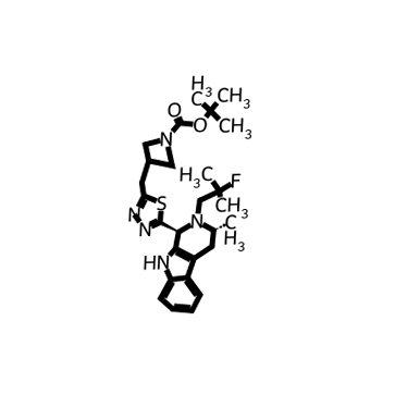 C[C@@H]1Cc2c([nH]c3ccccc23)[C@@H](c2nnc(CC3CN(C(=O)OC(C)(C)C)C3)s2)N1CC(C)(C)F